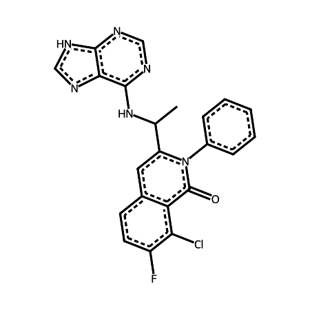 CC(Nc1ncnc2[nH]cnc12)c1cc2ccc(F)c(Cl)c2c(=O)n1-c1ccccc1